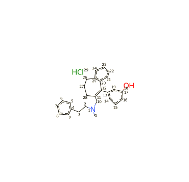 CN(CCc1ccccc1)CC1=C(c2cccc(O)c2)c2ccccc2CCC1.Cl